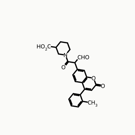 Cc1ccccc1-c1cc(=O)oc2cc(C(C=O)C(=O)N3CCCC(C(=O)O)C3)ccc12